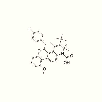 COc1cccc2c1-c1ccc3c(c1C(Cc1ccc(F)cc1)O2)C(C)=C(C(C)(C)C)C(C)(C)N3C(=O)O